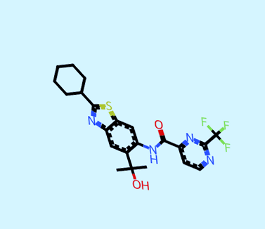 CC(C)(O)c1cc2nc(C3CCCCC3)sc2cc1NC(=O)c1ccnc(C(F)(F)F)n1